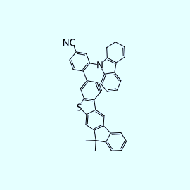 CC1(C)c2ccccc2-c2cc3c(cc21)sc1cc(-c2ccc(C#N)cc2-n2c4c(c5ccccc52)C=CCC4)c#cc13